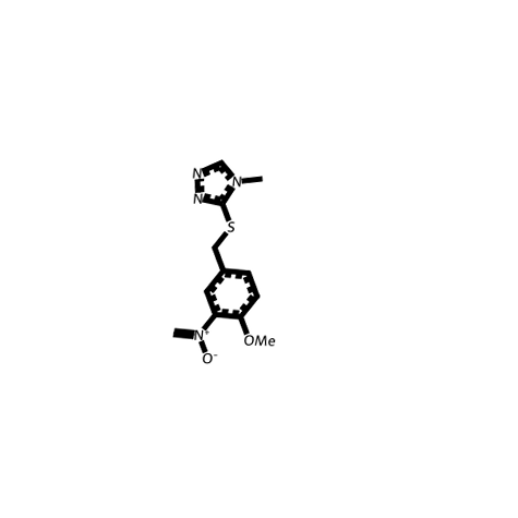 C=[N+]([O-])c1cc(CSc2nncn2C)ccc1OC